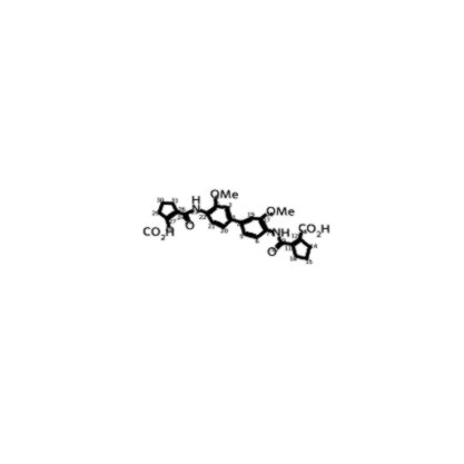 COc1cc(-c2ccc(NC(=O)C3=C(C(=O)O)CCC3)c(OC)c2)ccc1NC(=O)C1=C(C(=O)O)CCC1